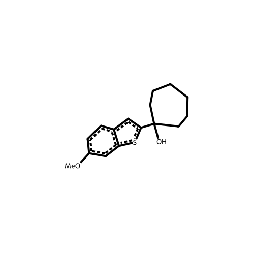 COc1ccc2cc(C3(O)CCCCCC3)sc2c1